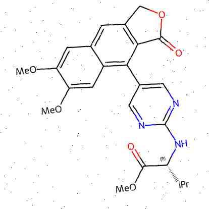 COC(=O)[C@H](Nc1ncc(-c2c3c(cc4cc(OC)c(OC)cc24)COC3=O)cn1)C(C)C